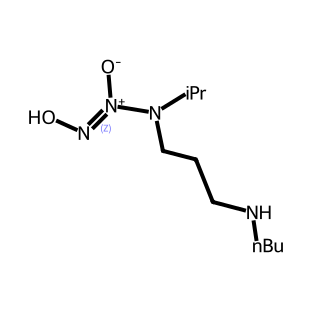 CCCCNCCCN(C(C)C)/[N+]([O-])=N/O